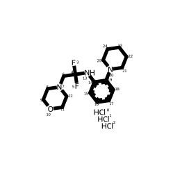 Cl.Cl.Cl.FC(F)(CN1CCOCC1)Nc1ccccc1N1CCCCC1